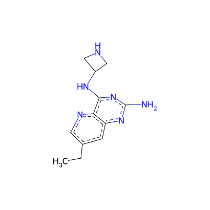 CCc1cnc2c(NC3CNC3)nc(N)nc2c1